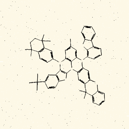 Cc1cc2c3c(c1)N(c1cccc4c1oc1ccccc14)c1cc4c(cc1B3c1sc3ccc(C(C)(C)C)cc3c1N2c1ccc2c(c1)C(C)(C)CCC2(C)C)C(C)(C)c1ccccc1O4